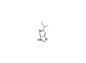 CCC(C)c1cc2nc[nH]c2cn1